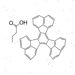 CCCC(=O)O.c1cc2cccc3c2c(c1)c1c2c4cccc5cccc(c54)c2c2c4cccc5cccc(c54)c2c31